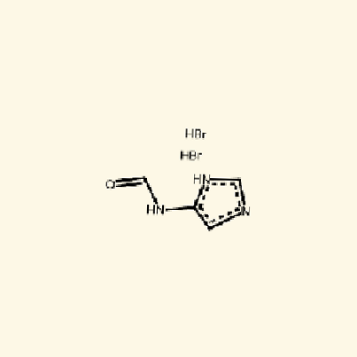 Br.Br.O=CNc1cnc[nH]1